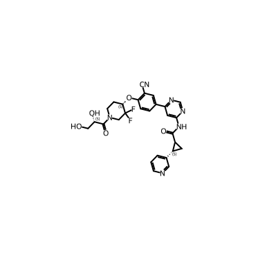 N#Cc1cc(-c2cc(NC(=O)C3C[C@@H]3c3cccnc3)ncn2)ccc1O[C@H]1CCN(C(=O)[C@@H](O)CO)CC1(F)F